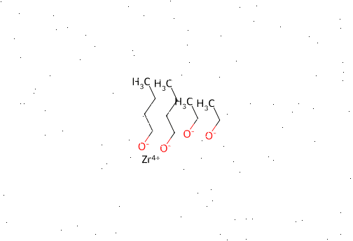 CCCC[O-].CCCC[O-].CC[O-].CC[O-].[Zr+4]